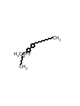 CCCCCCCCCCCCc1ccc(-c2ccc(OCC(C)OCCCCCC)c(F)c2)cc1